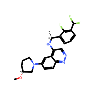 CO[C@@H]1CCCN(c2ccc3nncc(N[C@H](C)c4cccc(C(F)F)c4F)c3c2)C1